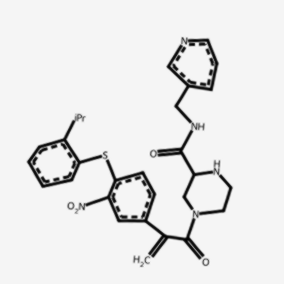 C=C(C(=O)N1CCNC(C(=O)NCc2cccnc2)C1)c1ccc(Sc2ccccc2C(C)C)c([N+](=O)[O-])c1